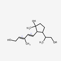 CC(/C=C/C1C(C(C)CO)CCC1(C)O)=C\CO